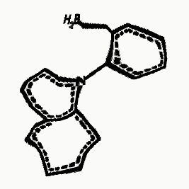 Bc1ccccc1-n1ccc2ccccc21